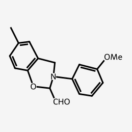 COc1cccc(N2Cc3cc(C)ccc3OC2C=O)c1